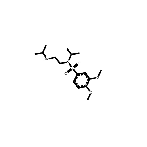 COc1ccc(S(=O)(=O)N(CCNC(C)C)C(C)C)cc1OC